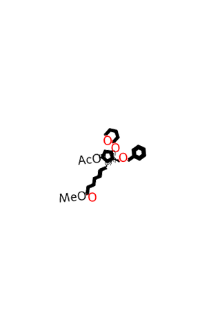 COC(=O)CCCC=CC[C@H]1[C@H](COCc2ccccc2)[C@@H](OC2CCCCO2)C[C@H]1OC(C)=O